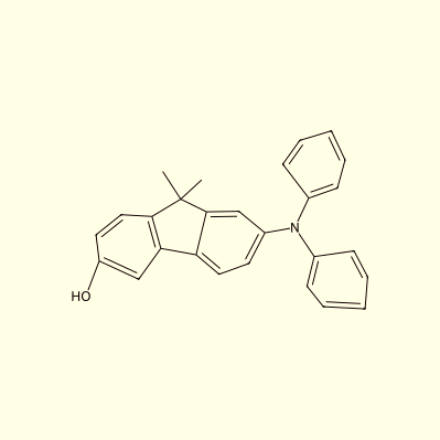 CC1(C)c2ccc(O)cc2-c2ccc(N(c3ccccc3)c3ccccc3)cc21